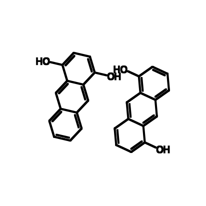 Oc1ccc(O)c2cc3ccccc3cc12.Oc1cccc2cc3c(O)cccc3cc12